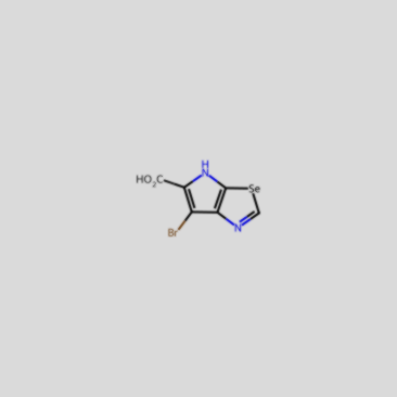 O=C(O)c1[nH]c2[se]cnc2c1Br